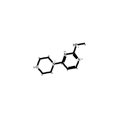 CPc1nccc(N2CCOCC2)n1